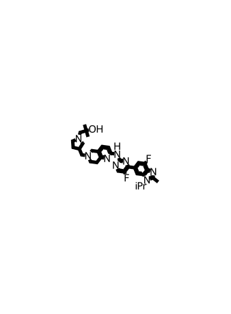 Cc1nc2c(F)cc(-c3nc(Nc4ccc5c(n4)CCN(CC4CCN(CC(C)(C)O)C4)C5)ncc3F)cc2n1C(C)C